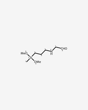 CO[Si](C)(CCCNCC=O)OC